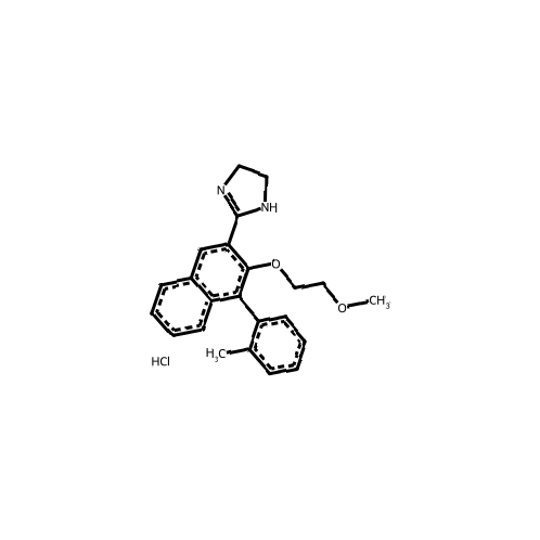 COCCOc1c(C2=NCCN2)cc2ccccc2c1-c1ccccc1C.Cl